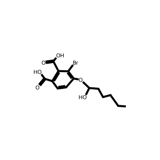 CCCCCC(O)Oc1ccc(C(=O)O)c(C(=O)O)c1Br